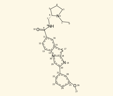 CCN1CCC[C@H]1CNC(=O)c1ccc2c(c1)sc1nc(-c3cccc(OC)c3)cn12